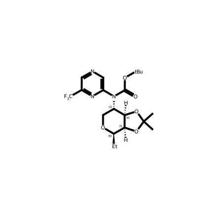 CC[C@H]1OC[C@H](N(C(=O)OC(C)(C)C)c2cncc(C(F)(F)F)n2)[C@H]2OC(C)(C)O[C@H]21